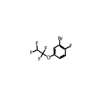 Fc1ccc(OC(F)(F)C(F)F)cc1Br